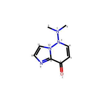 CN(C)n1ccc(=O)c2nccn21